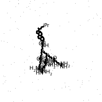 CC(C)CCCC(C)C1CCC2C3CC=C4CC(OC(=O)NCCCN(CCCNC(=O)C(N)CCCNC(=N)N)CCCN(CCCNC(=O)C(N)CCCNC(=N)N)CCCNC(=O)C(N)C5C6C(NC(=N)N)C56)CCC4(C)C3CCC12C